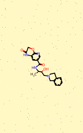 C[C@@H](NC(=O)c1cnc2c(c1)NC(=O)CO2)[C@@H](O)CN1CCc2ccccc2C1